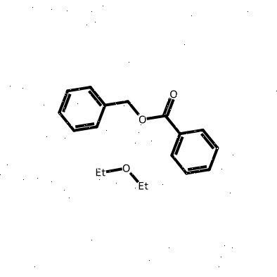 CCOCC.O=C(OCc1ccccc1)c1ccccc1